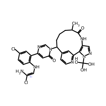 CC1CCCC(n2cnc(-c3cc(Cl)ccc3N/C=C(\N)Cl)cc2=O)c2ccnc(c2)-c2c(cnn2C(O)(O)O)NC1=O